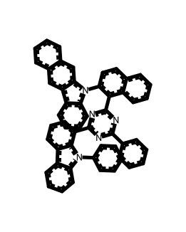 c1ccc(-c2nc(-c3c(-n4c5ccccc5c5cc6ccccc6cc54)ccc4ccccc34)nc(-c3cccc4c5ccccc5n(-c5ccccc5)c34)n2)cc1